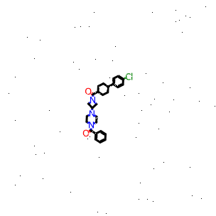 O=C(c1ccccc1)N1CCN(C2CN(C(=O)C3CCC(c4ccc(Cl)cc4)CC3)C2)CC1